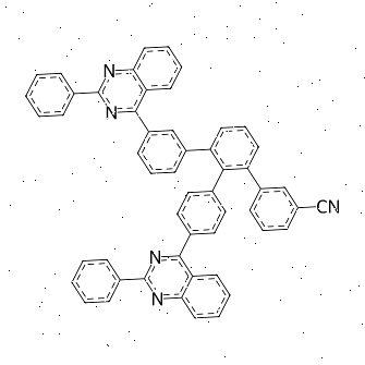 N#Cc1cccc(-c2cccc(-c3cccc(-c4nc(-c5ccccc5)nc5ccccc45)c3)c2-c2ccc(-c3nc(-c4ccccc4)nc4ccccc34)cc2)c1